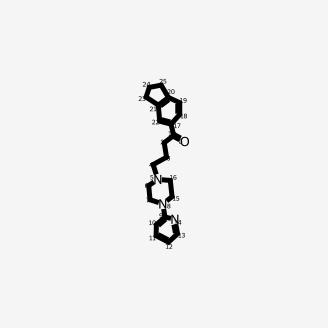 O=C(CCCN1CCN(c2ccccn2)CC1)c1ccc2c(c1)CCC2